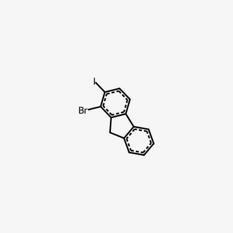 Brc1c(I)ccc2c1Cc1ccccc1-2